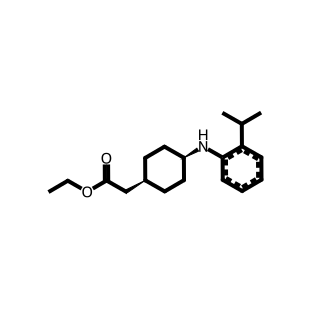 CCOC(=O)C[C@H]1CC[C@@H](Nc2ccccc2C(C)C)CC1